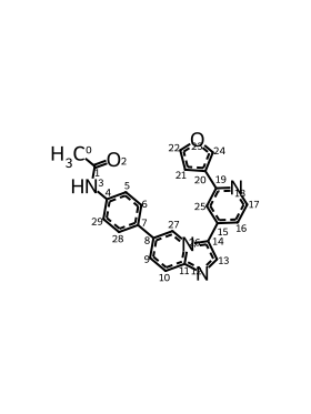 CC(=O)Nc1ccc(-c2ccc3ncc(-c4ccnc(-c5ccoc5)c4)n3c2)cc1